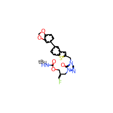 CC(C)(C)NC(=O)OC/C(=C/F)Cn1ncn(Cc2cc3cc(-c4ccc5c(c4)OCO5)ccc3s2)c1=O